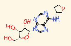 OC[C@H]1O[C@@H](n2cnc3c(N[C@@H]4CCOC4)ncnc32)[C@@H](O)[C@H]1O